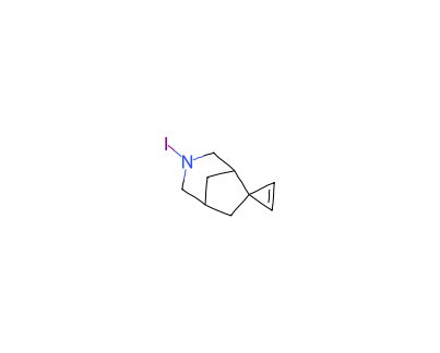 IN1CC2CC(C1)C1(C=C1)C2